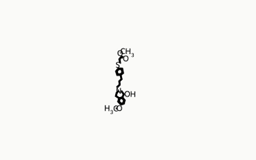 COC(=O)CCSc1ccc(CCCCN2CCc3cc(OC)ccc3C(O)C2)cc1